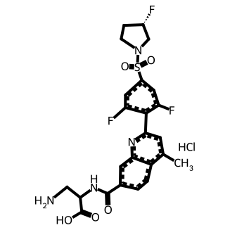 Cc1cc(-c2c(F)cc(S(=O)(=O)N3CC[C@H](F)C3)cc2F)nc2cc(C(=O)NC(CN)C(=O)O)ccc12.Cl